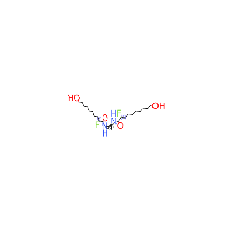 O=C(N[C@H]1C[C@H]1NC(=O)/C(F)=C/CCCCCCCO)/C(F)=C/CCCCCCCO